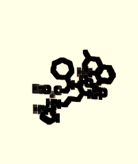 CCOC(=O)CN(C(=O)[C@H](CCCNc1ncc[nH]1)NS(=O)(=O)c1cccc2c1NCC(C)C2)C1CCCCCC1